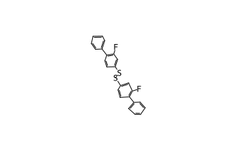 Fc1cc(SSc2ccc(-c3ccccc3)c(F)c2)ccc1-c1ccccc1